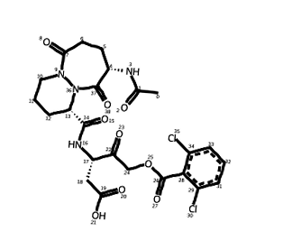 CC(=O)N[C@H]1CCC(=O)N2CCC[C@@H](C(=O)N[C@@H](CC(=O)O)C(=O)COC(=O)c3c(Cl)cccc3Cl)N2C1=O